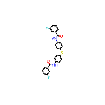 O=C(Nc1ccc(Sc2ccc(NC(=O)c3cccc(F)c3)cc2)cc1)c1cccc(F)c1